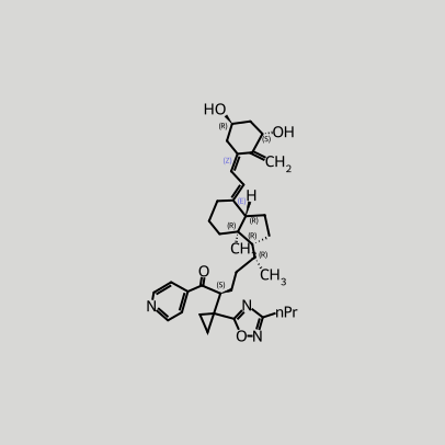 C=C1/C(=C\C=C2/CCC[C@]3(C)[C@@H]([C@H](C)CC[C@H](C(=O)c4ccncc4)C4(c5nc(CCC)no5)CC4)CC[C@@H]23)C[C@@H](O)C[C@@H]1O